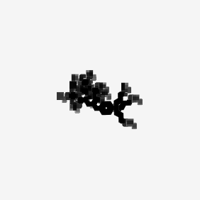 CCC[CH2][Sn]([CH2]CCC)([CH2]CCC)[c]1ccc(C[C@@H](C[C@H](NC(=O)OC(C)(C)C)C(=O)OC(C)(C)C)C(=O)OC(C)(C)C)cc1